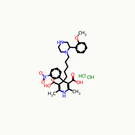 COc1ccccc1C1CNCCN1CCCCCC1(c2cccc([N+](=O)[O-])c2)C(C(=O)O)=C(C)NC(C)=C1C(=O)O.Cl.Cl